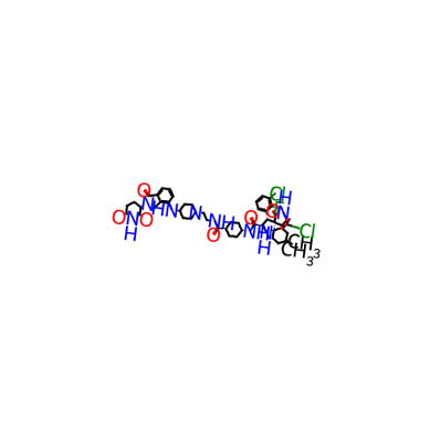 CC1(C)CCC2(CC1)N[C@@H](C(=O)N[C@H]1CC[C@H](C(=O)NCCN3CCC(Nc4cccc5c4CN(C4CCC(=O)NC4=O)C5=O)CC3)CC1)[C@H](c1cccc(Cl)c1F)[C@]21C(=O)Nc2cc(Cl)ccc21